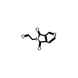 O=CCN1C(=O)c2ccncc2C1=O